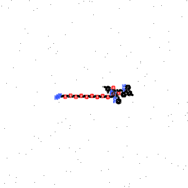 [CH2]c1ccc(NC(=O)[C@H](CCCCNC(c2ccccc2)(c2ccccc2)c2ccc(C)cc2)NC(=O)[C@H](Cc2ccccc2)NC(=O)CCOCCOCCOCCOCCOCCOCCOCCOCCOCCN=[N+]=[N-])c(C)c1